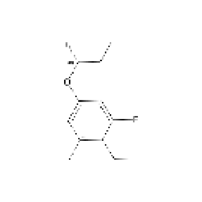 CCc1c(C)cc(O[C@H](C)CC)cc1F